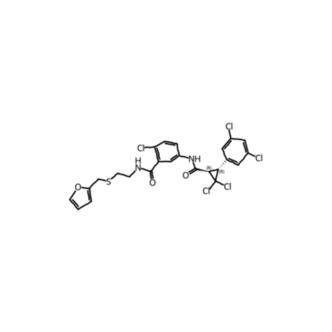 O=C(NCCSCc1ccco1)c1cc(NC(=O)[C@H]2[C@H](c3cc(Cl)cc(Cl)c3)C2(Cl)Cl)ccc1Cl